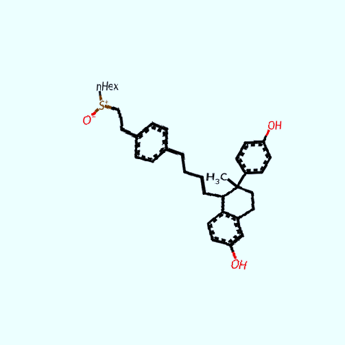 CCCCCC[S+]([O-])CCc1ccc(CCCCC2c3ccc(O)cc3CCC2(C)c2ccc(O)cc2)cc1